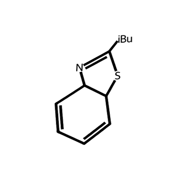 C[CH]C(C)C1=NC2C=CC=CC2S1